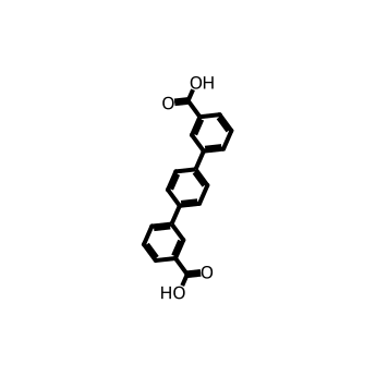 O=C(O)c1cccc(-c2ccc(-c3cccc(C(=O)O)c3)cc2)c1